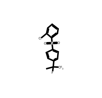 CC(F)(c1ccc(S(=O)(=O)c2ccccc2Cl)cc1)C(F)(F)F